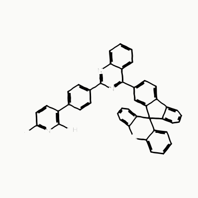 Cc1ccc(-c2ccc(-c3nc(-c4ccc5c(c4)C4(c6ccccc6Oc6ccccc64)c4ccccc4-5)c4ccccc4n3)cc2)c(C)n1